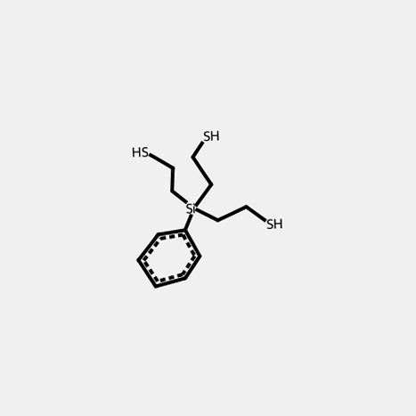 SCC[Si](CCS)(CCS)c1ccccc1